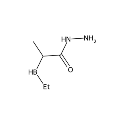 CCBC(C)C(=O)NN